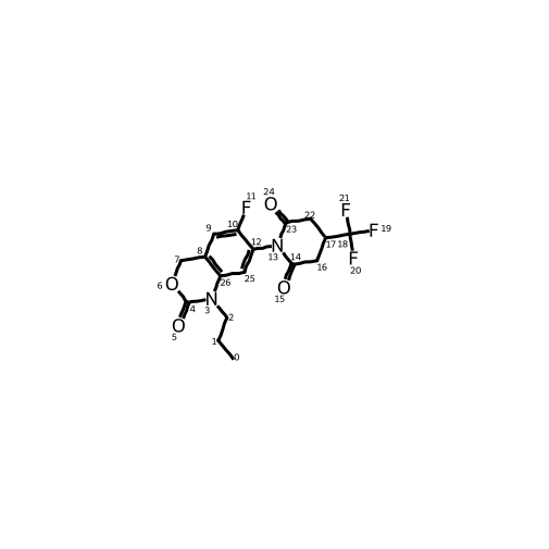 CCCN1C(=O)OCc2cc(F)c(N3C(=O)CC(C(F)(F)F)CC3=O)cc21